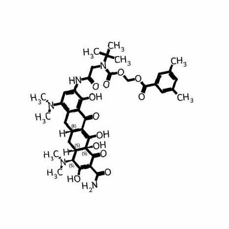 Cc1cc(C)cc(C(=O)OCOC(=O)N(CC(=O)Nc2cc(N(C)C)c3c(c2O)C(=O)C2=C(O)[C@]4(O)C(=O)C(C(N)=O)=C(O)[C@@H](N(C)C)[C@@H]4C[C@@H]2C3)C(C)(C)C)c1